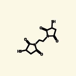 O=C1CC(S)C(=O)N1CCN1C(=O)CC(S)C1=O